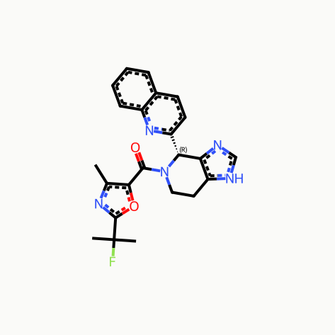 Cc1nc(C(C)(C)F)oc1C(=O)N1CCc2[nH]cnc2[C@H]1c1ccc2ccccc2n1